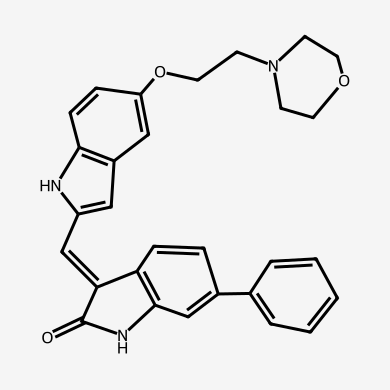 O=C1Nc2cc(-c3ccccc3)ccc2/C1=C\c1cc2cc(OCCN3CCOCC3)ccc2[nH]1